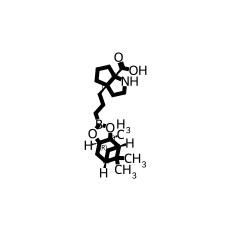 CC1(C)[C@@H]2C[C@H]3OB(CCC[C@@]45CCC[C@]4(C(=O)O)NCC5)O[C@@]3(C)[C@H]1C2